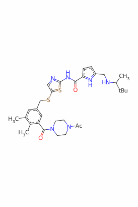 CC(=O)N1CCN(C(=O)c2cc(CSc3cnc(NC(=O)c4ccc(CNC(C)C(C)(C)C)[nH]4)s3)cc(C)c2C)CC1